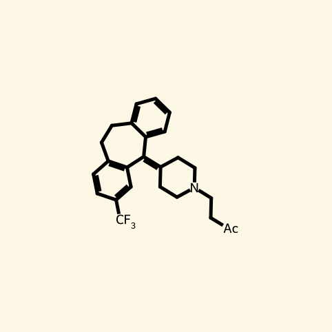 CC(=O)CCN1CCC(=C2c3ccccc3CCc3ccc(C(F)(F)F)cc32)CC1